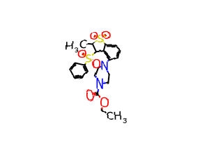 CCOC(=O)N1CCN(c2cccc3c2C(S(=O)(=O)c2ccccc2)C(C)S3(=O)=O)CC1